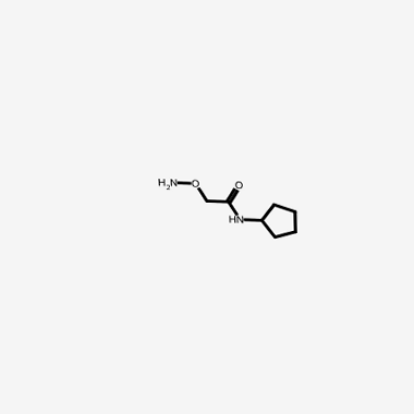 NOCC(=O)NC1CCCC1